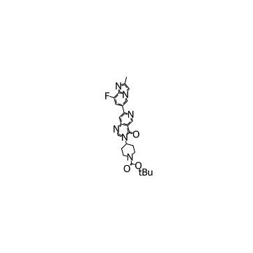 Cc1cn2cc(-c3cc4ncn(C5CCN(C(=O)OC(C)(C)C)CC5)c(=O)c4cn3)cc(F)c2n1